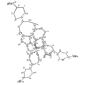 CCCCCC1CCC(C2COc3ccc4ccc(-c5ccc(C6CCC(CCC)CC6)cc5)cc4c3-c3c(ccc4ccc(-c5ccc(C6CCC(CCC)CC6)cc5)cc34)OC2)CC1